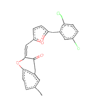 Cc1ccc2c(c1)C(=O)C(=Cc1ccc(-c3cc(Cl)ccc3Cl)o1)O2